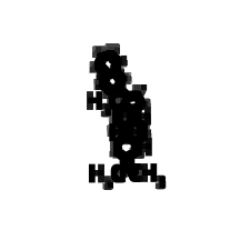 CN(C)[C@@H]1CC[C@H]2[C@@H](CC[C@@H]3[C@@H]2CC[C@]2(C)C(c4ccc5ccccc5c4)=CC[C@@H]32)C1